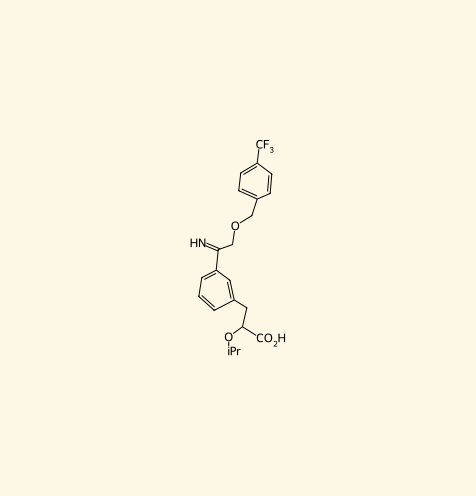 CC(C)OC(Cc1cccc(C(=N)COCc2ccc(C(F)(F)F)cc2)c1)C(=O)O